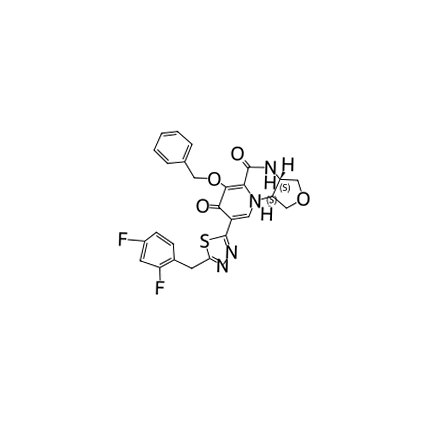 O=C1N[C@@H]2COC[C@H]2n2cc(-c3nnc(Cc4ccc(F)cc4F)s3)c(=O)c(OCc3ccccc3)c21